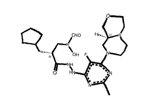 Cc1nc(NNC(=O)[C@H](CC2CCCC2)CN(O)C=O)c(F)c(N2CCN3CCOC[C@@H]3C2)n1